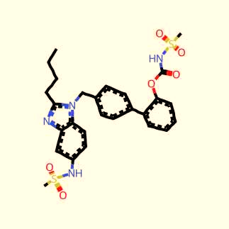 CCCCc1nc2cc(NS(C)(=O)=O)ccc2n1Cc1ccc(-c2ccccc2OC(=O)NS(C)(=O)=O)cc1